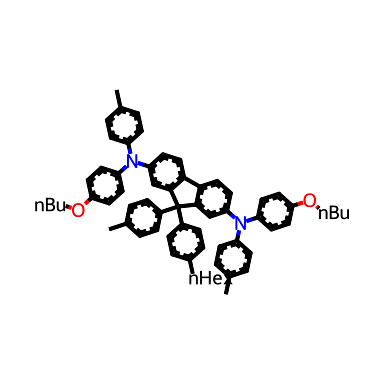 CCCCCCc1ccc(C2(c3ccc(C)cc3)c3cc(N(c4ccc(C)cc4)c4ccc(OCCCC)cc4)ccc3-c3ccc(N(c4ccc(C)cc4)c4ccc(OCCCC)cc4)cc32)cc1